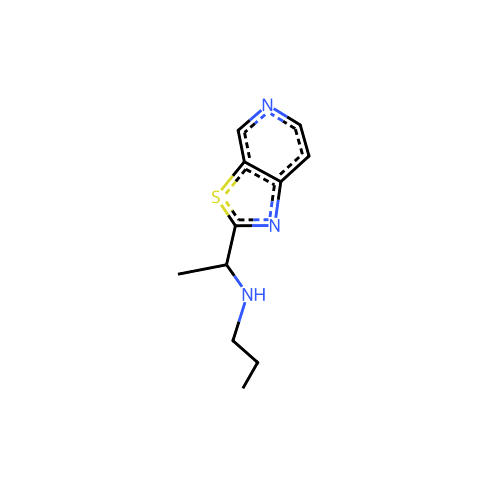 CCCNC(C)c1nc2ccncc2s1